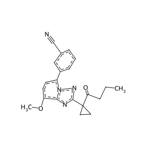 CCCC(=O)C1(c2nc3c(OC)ccc(-c4cccc(C#N)c4)n3n2)CC1